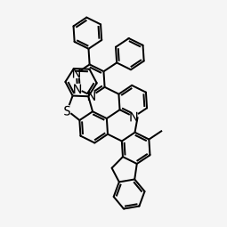 Cc1cc2c(c(-c3ccc4sc5ccccc5c4c3-c3ncccc3-c3nnnc(-c4ccccc4)c3-c3ccccc3)c1C)Cc1ccccc1-2